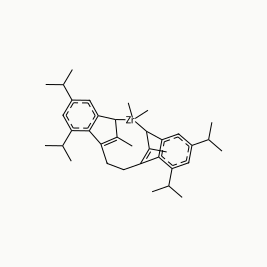 CC1=C2CCC3=C(C)[CH](c4cc(C(C)C)cc(C(C)C)c43)[Zr]([CH3])([CH3])[CH]1c1cc(C(C)C)cc(C(C)C)c12